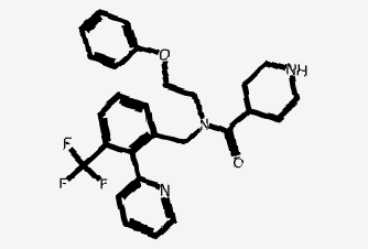 O=C(C1CCNCC1)N(CCOc1ccccc1)Cc1cccc(C(F)(F)F)c1-c1ccccn1